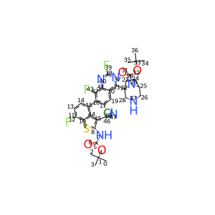 CC(C)(C)OC(=O)Nc1sc2c(F)ccc(-c3c(Cl)cc4c(C56CCC(CNC5)N6C(=O)OC(C)(C)C)nc(F)nc4c3F)c2c1C#N